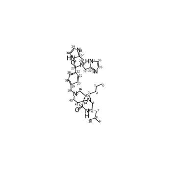 CCCCN1C[C@H](CC(C)C)NC(=O)C12CCN(Cc1ccc(C(=O)N(Cc3ncc[nH]3)Cc3ncc[nH]3)cc1)CC2